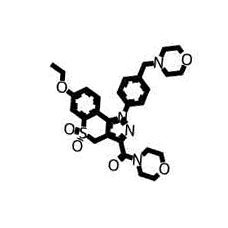 CCOc1ccc2c(c1)S(=O)(=O)Cc1c(C(=O)N3CCOCC3)nn(-c3ccc(CN4CCOCC4)cc3)c1-2